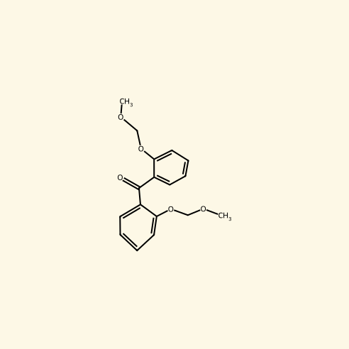 COCOc1ccccc1C(=O)c1ccccc1OCOC